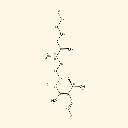 CC=CC(C(O)C(C)CCC[C@H](N)C(=O)COCCC)[C@@H](C)O